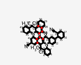 CC1(C)c2ccccc2N(c2ccc(-c3ccccc3C#N)cc2-c2nc(-c3ccccc3)nc(-c3ccc(C#N)cc3N3c4ccccc4C(C)(C)c4ccccc43)n2)c2ccccc21